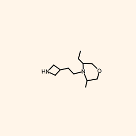 CCC1COCC(C)N1CCC1CNC1